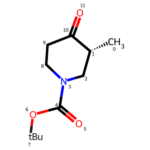 C[C@@H]1CN(C(=O)OC(C)(C)C)CCC1=O